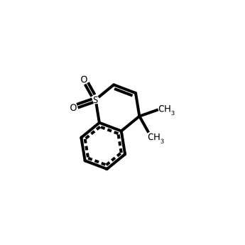 CC1(C)C=CS(=O)(=O)c2ccccc21